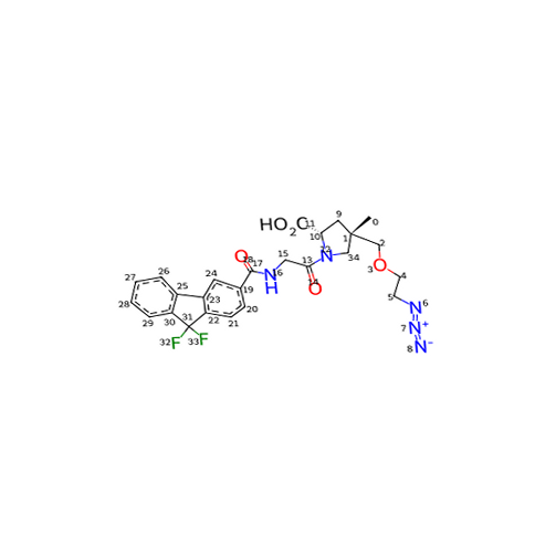 C[C@]1(COCCN=[N+]=[N-])C[C@@H](C(=O)O)N(C(=O)CNC(=O)c2ccc3c(c2)-c2ccccc2C3(F)F)C1